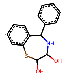 OC1NC(c2ccccc2)c2cc[c]cc2SC1O